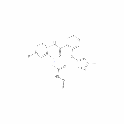 Cn1cc(Oc2ccccc2C(=O)Nc2ccc(F)cc2/C=C/C(=O)NOF)cn1